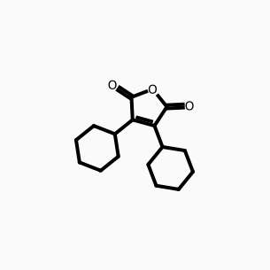 O=C1OC(=O)C(C2CCCCC2)=C1C1CCCCC1